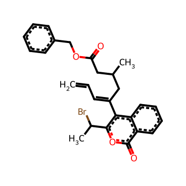 C=C/C=C(\CC(C)CC(=O)OCc1ccccc1)c1c(C(C)Br)oc(=O)c2ccccc12